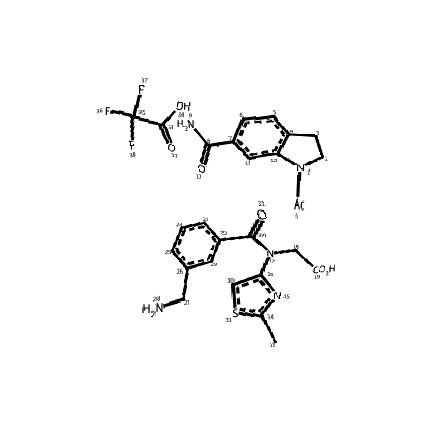 CC(=O)N1CCc2ccc(C(N)=O)cc21.Cc1nc(N(CC(=O)O)C(=O)c2cccc(CN)c2)cs1.O=C(O)C(F)(F)F